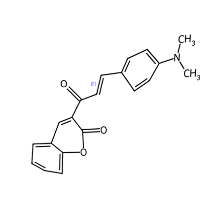 CN(C)c1ccc(/C=C/C(=O)c2cc3ccccc3oc2=O)cc1